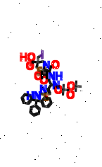 CC(C)(C)OC(=O)C(C)(C)ON=C(C(=O)NC1C(=O)N2CC(CI)(C(=O)O)C[S+]([O-])[C@H]12)c1csc(NC(c2ccccc2)(c2ccccc2)c2ccccc2)n1